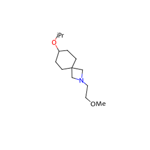 COCCN1CC2(CCC(OC(C)C)CC2)C1